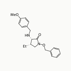 CC[C@H]1CN(OCc2ccccc2)C(=O)[C@H]1NCc1ccc(OC)cc1